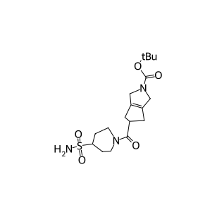 CC(C)(C)OC(=O)N1CC2=C(CC(C(=O)N3CCC(S(N)(=O)=O)CC3)C2)C1